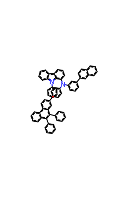 c1ccc(-c2c(-c3ccccc3)c3cc(-c4ccc(N(c5cccc(-c6ccc7ccccc7c6)c5)c5cccc6c7ccccc7n(-c7ccccc7)c56)cc4)ccc3c3ccccc23)cc1